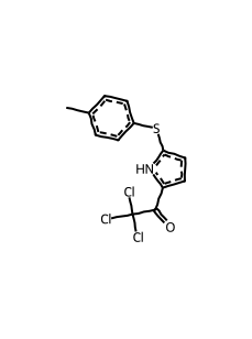 Cc1ccc(Sc2ccc(C(=O)C(Cl)(Cl)Cl)[nH]2)cc1